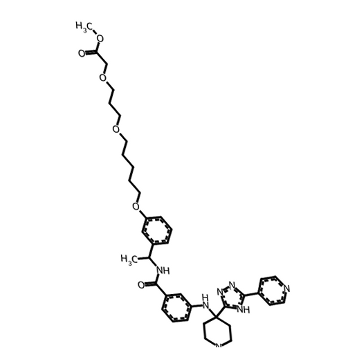 COC(=O)COCCCOCCCCCOc1cccc(C(C)NC(=O)c2cccc(NC3(c4nnc(-c5ccncc5)[nH]4)CCNCC3)c2)c1